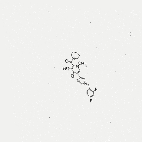 Cn1cc(-c2cn(Cc3ccc(F)cc3F)cn2)c(=O)c(O)c1C(=O)N1CCCCC1